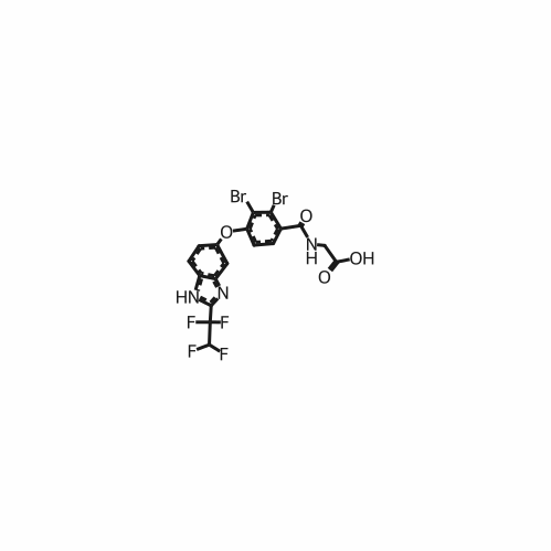 O=C(O)CNC(=O)c1ccc(Oc2ccc3[nH]c(C(F)(F)C(F)F)nc3c2)c(Br)c1Br